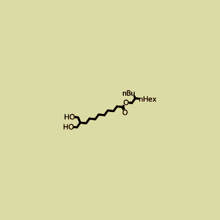 CCCCCCC(CCCC)COC(=O)CCCCCCCCC(CO)CO